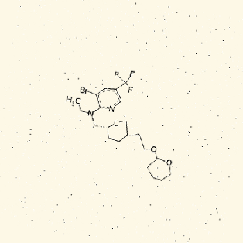 CCN(C[C@H]1CC[C@H](CCOC2CCCCO2)CC1)c1ncc(C(F)(F)F)cc1Br